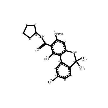 CCCCCc1cc2c(c(O)c1C(=O)NC1CCCC1)-c1cc(C)ccc1C(C)(C)O2